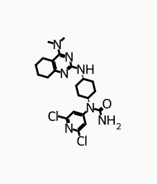 CN(C)c1nc(N[C@H]2CC[C@@H](N(C(N)=O)c3cc(Cl)nc(Cl)c3)CC2)nc2c1CCCC2